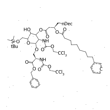 CCCCCCCCCCC[C@H](CC(=O)OC1C(O)C(CO[Si](C)(C)C(C)(C)C)OC(OC[C@@H](NC(=O)OCC(Cl)(Cl)Cl)C(=O)OCc2ccccc2)C1NC(=O)OCC(Cl)(Cl)Cl)OC(=O)CCCCCCCCc1ccccc1